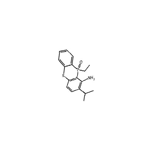 CCP1(=O)c2ccccc2Sc2ccc(C(C)C)c(N)c21